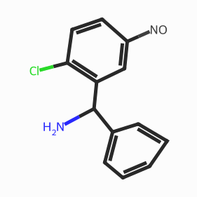 NC(c1ccccc1)c1cc(N=O)ccc1Cl